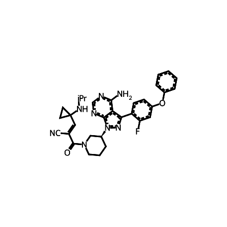 CC(C)NC1(C=C(C#N)C(=O)N2CCC[C@H](n3nc(-c4ccc(Oc5ccccc5)cc4F)c4c(N)ncnc43)C2)CC1